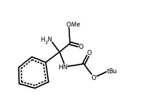 COC(=O)C(N)(NC(=O)OC(C)(C)C)c1ccccc1